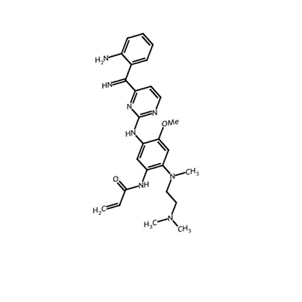 C=CC(=O)Nc1cc(Nc2nccc(C(=N)c3ccccc3N)n2)c(OC)cc1N(C)CCN(C)C